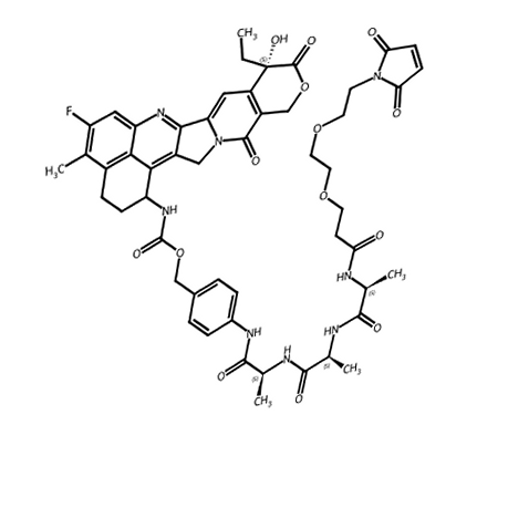 CC[C@@]1(O)C(=O)OCc2c1cc1n(c2=O)Cc2c-1nc1cc(F)c(C)c3c1c2C(NC(=O)OCc1ccc(NC(=O)[C@H](C)NC(=O)[C@H](C)NC(=O)[C@H](C)NC(=O)CCOCCOCCN2C(=O)C=CC2=O)cc1)CC3